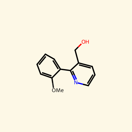 COc1ccccc1-c1ncccc1CO